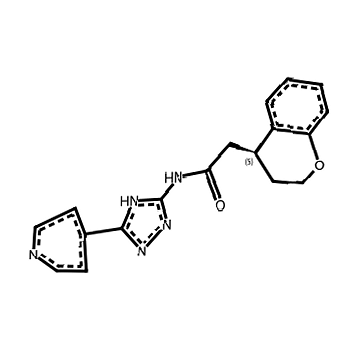 O=C(C[C@@H]1CCOc2ccccc21)Nc1nnc(-c2ccncc2)[nH]1